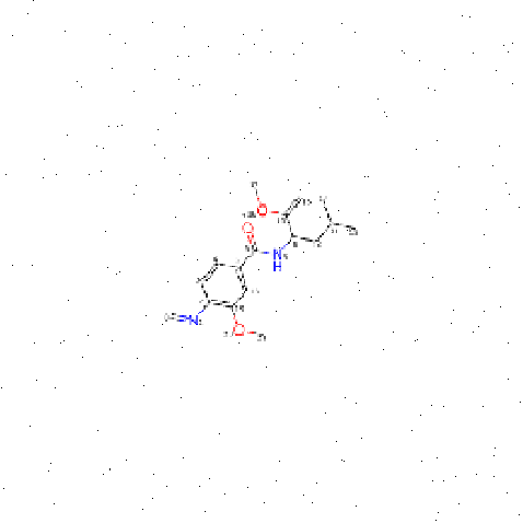 C=Nc1ccc(C(=O)NC(CC(C)C)C(=C)OC)cc1OC